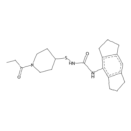 CCC(=O)N1CCC(SNC(=O)Nc2c3c(cc4c2CCC4)CCC3)CC1